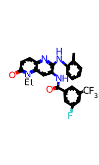 CCn1c(=O)ccc2nc(Nc3ccccc3C)c(NC(=O)c3cc(F)cc(C(F)(F)F)c3)cc21